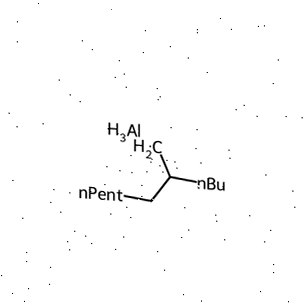 [AlH3].[CH2]C(CCCC)CCCCCC